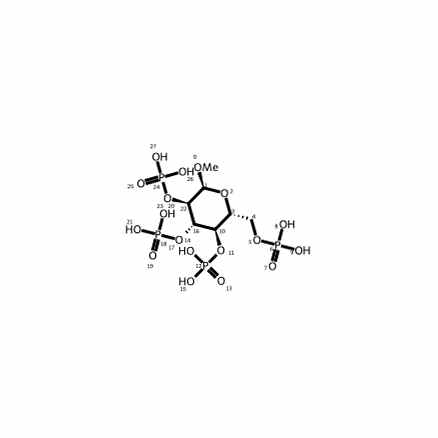 CO[C@H]1O[C@H](COP(=O)(O)O)[C@@H](OP(=O)(O)O)[C@H](OP(=O)(O)O)[C@H]1OP(=O)(O)O